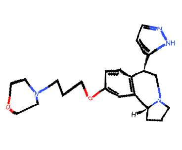 c1cc([C@H]2CN3CCC[C@@H]3c3cc(OCCCN4CCOCC4)ccc32)[nH]n1